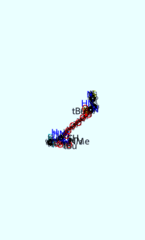 CN[C@@H](C)C(=O)N[C@H](C(=O)N1C[C@@H](NC(=O)COCCOCCOCCOCCOc2cc3nccc(Nc4ccc5scnc5c4)c3cc2S(=O)(=O)C(C)(C)C)C[C@H]1C(=O)Nc1c(F)cccc1F)C(C)(C)C